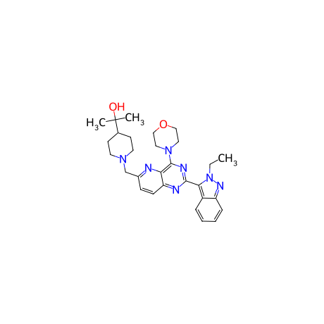 CCn1nc2ccccc2c1-c1nc(N2CCOCC2)c2nc(CN3CCC(C(C)(C)O)CC3)ccc2n1